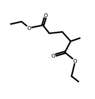 CCOC(=O)CCC(C)C(=O)OCC